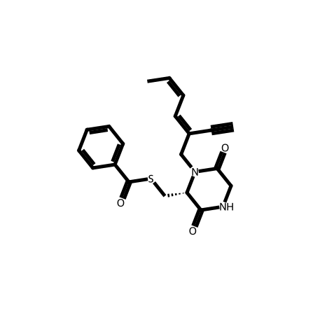 C#C/C(=C\C=C/C)CN1C(=O)CNC(=O)[C@@H]1CSC(=O)c1ccccc1